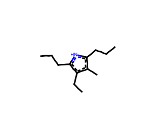 CCCc1[nH]c(CCC)c(CC)c1C